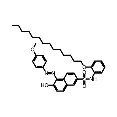 CCCCCCCCCCCCCCOc1ccccc1NS(=O)(=O)c1ccc2c(N=Nc3ccc(OC)cc3)c(O)ccc2c1